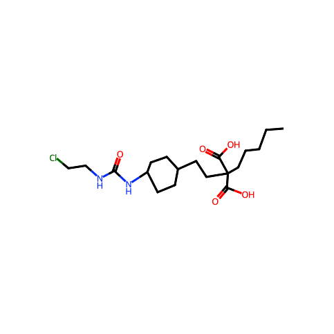 CCCCCC(CCC1CCC(NC(=O)NCCCl)CC1)(C(=O)O)C(=O)O